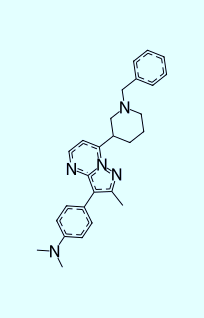 Cc1nn2c(C3CCCN(Cc4ccccc4)C3)ccnc2c1-c1ccc(N(C)C)cc1